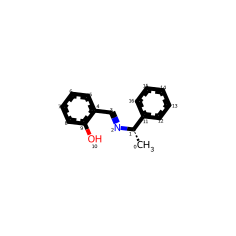 C[C@H](N=Cc1ccccc1O)c1ccccc1